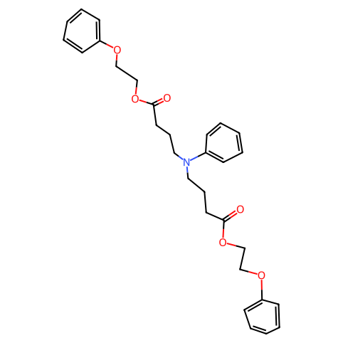 O=C(CCCN(CCCC(=O)OCCOc1ccccc1)c1ccccc1)OCCOc1ccccc1